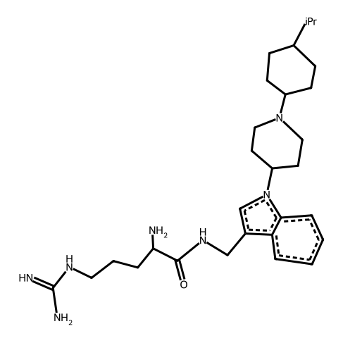 CC(C)C1CCC(N2CCC(n3cc(CNC(=O)C(N)CCCNC(=N)N)c4ccccc43)CC2)CC1